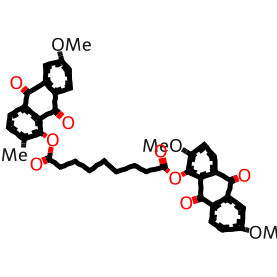 COc1ccc2c(c1)C(=O)c1ccc(OC)c(OC(=O)CCCCCCCC(=O)Oc3c(OC)ccc4c3C(=O)c3ccc(OC)cc3C4=O)c1C2=O